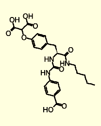 CCCCCNC(=O)[C@H](Cc1ccc(OC(C(=O)O)C(=O)O)cc1)NC(=O)Nc1ccc(C(=O)O)cc1